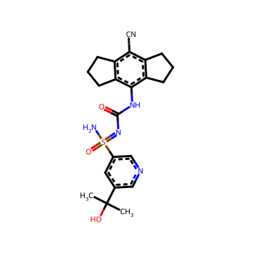 CC(C)(O)c1cncc(S(N)(=O)=NC(=O)Nc2c3c(c(C#N)c4c2CCC4)CCC3)c1